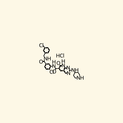 Cl.O=C(NCc1cccc(Cl)c1)c1ccc(Cl)c(NC(=O)c2cc3cnc(NC4CCNCC4)nc3[nH]c2=O)c1